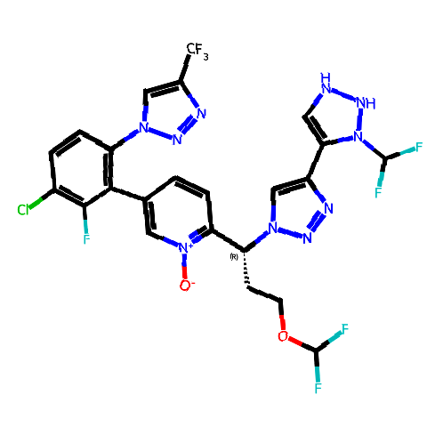 [O-][n+]1cc(-c2c(-n3cc(C(F)(F)F)nn3)ccc(Cl)c2F)ccc1[C@@H](CCOC(F)F)n1cc(C2=CNNN2C(F)F)nn1